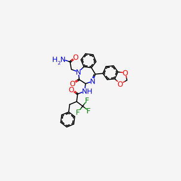 NC(=O)CN1C(=O)C(NC(=O)C(Cc2ccccc2)C(F)(F)F)N=C(c2ccc3c(c2)OCO3)c2ccccc21